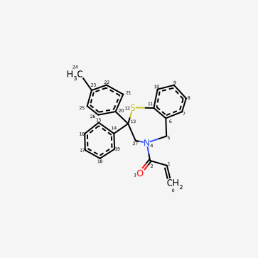 C=CC(=O)N1Cc2ccccc2SC(c2ccccc2)(c2ccc(C)cc2)C1